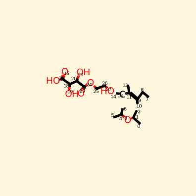 CC(C)OC(C)C.CC/C(C)=C(\C)CC.O=C(O)C(O)C(O)C(=O)OCCO